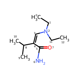 CCN(C=C(C(N)=O)C(C)C)CC